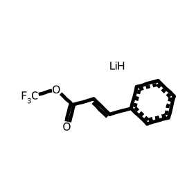 O=C(/C=C/c1ccccc1)OC(F)(F)F.[LiH]